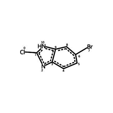 Clc1nc2ccc(Br)cc2[nH]1